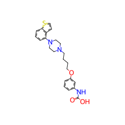 O=C(O)Nc1cccc(OCCCCN2CCN(c3cccc4sccc34)CC2)c1